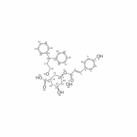 O=C(C=Cc1ccc(O)cc1)O[C@@H]1C[C@](OCCC(c2ccccc2)c2ccccc2)(C(=O)O)C[C@H](O)[C@H]1O